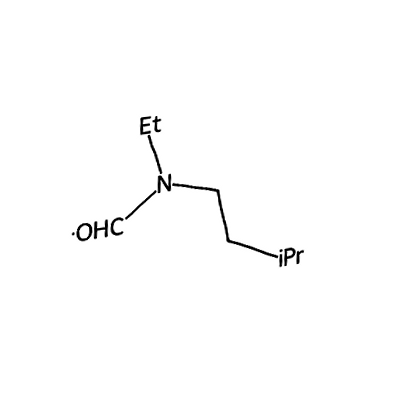 CCN([C]=O)CCC(C)C